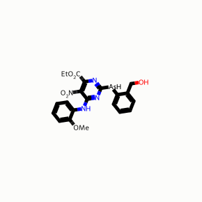 CCOC(=O)c1nc([AsH]c2ccccc2CO)nc(Nc2ccccc2OC)c1[N+](=O)[O-]